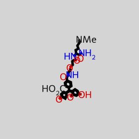 CNCCCCC(NC(=O)CCOCCNC(=O)c1ccc(-c2c3ccc(=O)cc-3oc3cc(O)ccc23)c(C(=O)O)c1)C(N)=O